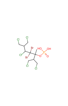 CC(OP(=O)(O)O)(C(CCl)CCl)C(Br)(Br)C(Cl)C(CCl)CCl